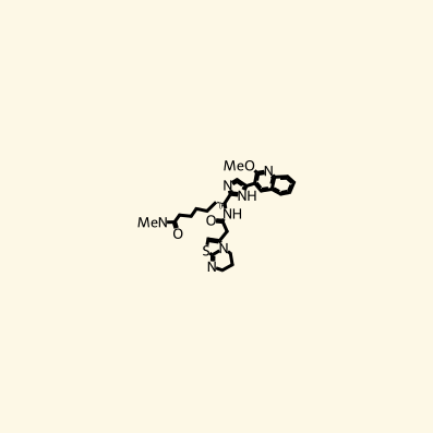 CNC(=O)CCCCC[C@@H](NC(=O)CC1=CSC2=NCCCN12)c1ncc(-c2cc3ccccc3nc2OC)[nH]1